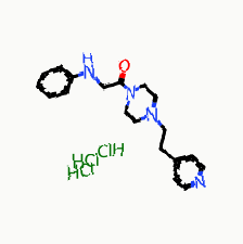 Cl.Cl.Cl.O=C(CNc1ccccc1)N1CCN(CCc2ccncc2)CC1